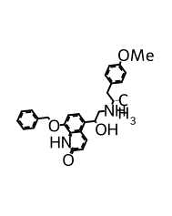 COc1ccc(C[C@H](C)NC[C@@H](O)c2ccc(OCc3ccccc3)c3[nH]c(=O)ccc23)cc1